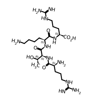 C[C@@H](O)[C@H](NC(=O)[C@@H](N)CCCNC(=N)N)C(=O)N[C@@H](CCCCN)C(=O)N[C@@H](CCCNC(=N)N)C(=O)O